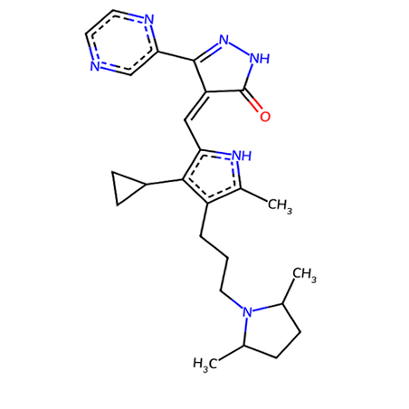 Cc1[nH]c(C=C2C(=O)NN=C2c2cnccn2)c(C2CC2)c1CCCN1C(C)CCC1C